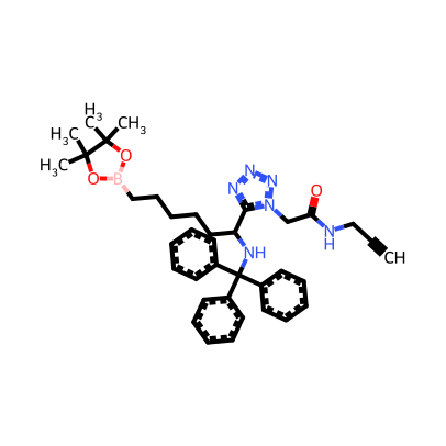 C#CCNC(=O)Cn1nnnc1C(CCCCCB1OC(C)(C)C(C)(C)O1)NC(c1ccccc1)(c1ccccc1)c1ccccc1